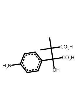 CC(C)(C(=O)O)C(O)(C(=O)O)c1ccc(N)cc1